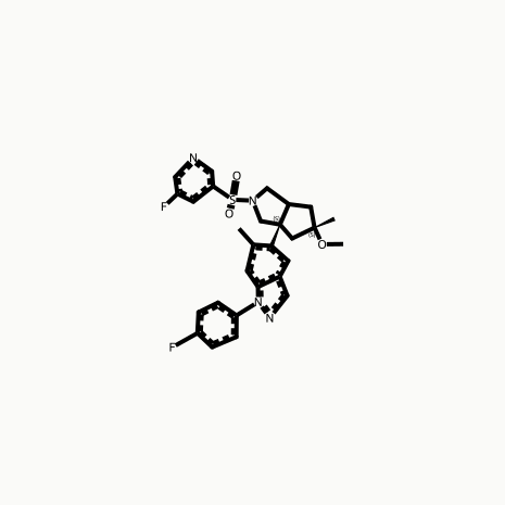 CO[C@@]1(C)CC2CN(S(=O)(=O)c3cncc(F)c3)C[C@@]2(c2cc3cnn(-c4ccc(F)cc4)c3cc2C)C1